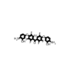 Nc1ccc(Oc2c(F)c(F)c(C(=O)c3c(F)c(F)c(Oc4ccc(N)c(O)c4)c(F)c3F)c(F)c2F)cc1O